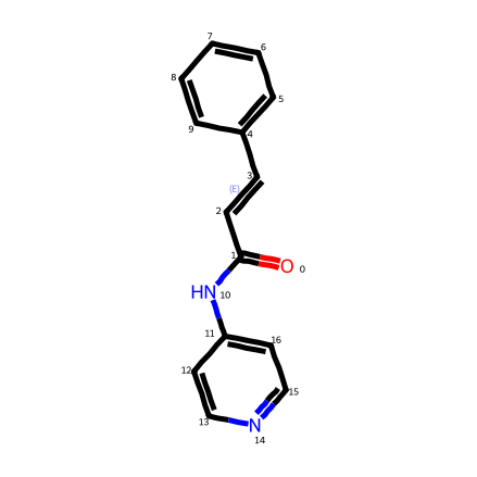 O=C(/C=C/c1ccccc1)Nc1ccncc1